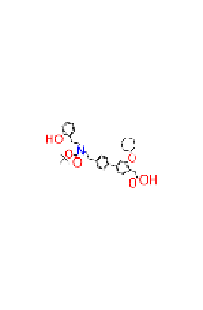 CC(C)(C)OC(=O)N(CCc1ccc(-c2ccc(CC(=O)O)c(OC3CCCCC3)c2)cc1)CCc1ccccc1O